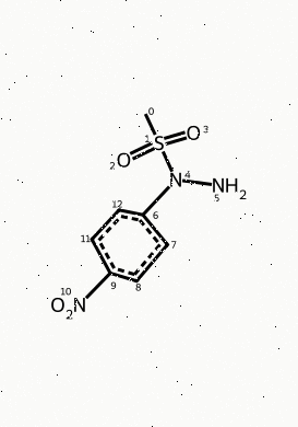 CS(=O)(=O)N(N)c1ccc([N+](=O)[O-])cc1